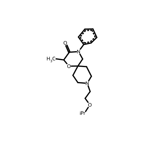 CC(C)OCCN1CCC2(CC1)CN(c1ccccc1)C(=O)C(C)O2